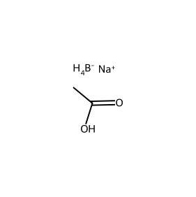 CC(=O)O.[BH4-].[Na+]